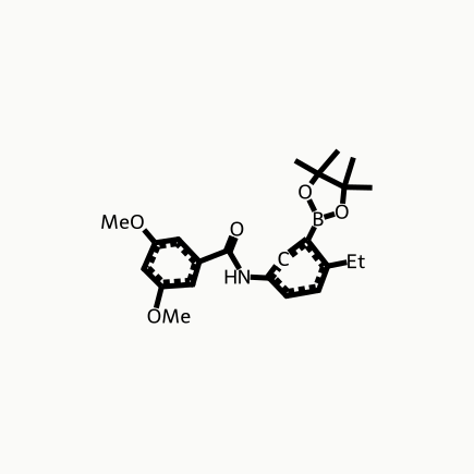 CCc1ccc(NC(=O)c2cc(OC)cc(OC)c2)cc1B1OC(C)(C)C(C)(C)O1